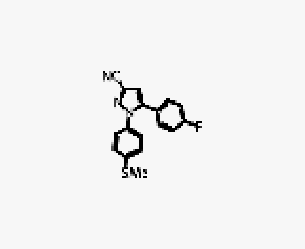 CSc1ccc(-n2nc(C#N)cc2-c2ccc(F)cc2)cc1